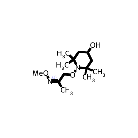 CO/N=C(/C)CON1C(C)(C)CC(O)CC1(C)C